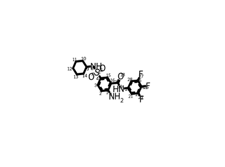 Nc1ccc(S(=O)(=O)NC2CCCCC2)cc1C(=O)Nc1cc(F)c(F)c(F)c1